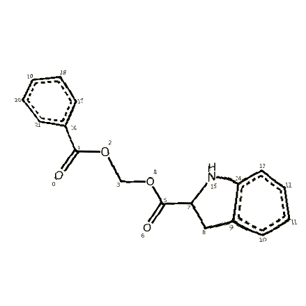 O=C(OCOC(=O)C1Cc2ccccc2N1)c1ccccc1